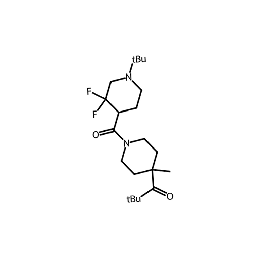 CC(C)(C)C(=O)C1(C)CCN(C(=O)C2CCN(C(C)(C)C)CC2(F)F)CC1